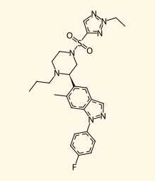 CCCN1CCN(S(=O)(=O)c2cnn(CC)n2)C[C@H]1c1cc2cnn(-c3ccc(F)cc3)c2cc1C